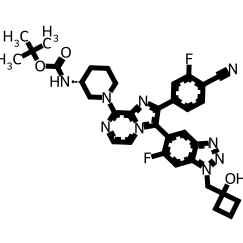 CC(C)(C)OC(=O)N[C@@H]1CCCN(c2nccn3c(-c4cc5nnn(CC6(O)CCC6)c5cc4F)c(-c4ccc(C#N)c(F)c4)nc23)C1